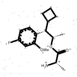 COc1cc(F)ccc1[C@H](C1CCC1)[C@H](C)OC(=O)[C@H](C)N